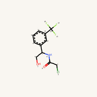 O=C(CCl)NC(CO)c1cccc(C(F)(F)F)c1